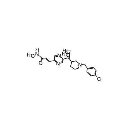 Cl.Cl.O=C(C=Cc1cnc(N[C@@H]2CCCN(Cc3ccc(Cl)cc3)C2)cn1)NO